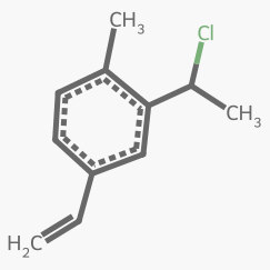 C=Cc1ccc(C)c(C(C)Cl)c1